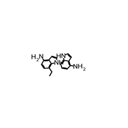 CCc1ccc(N)c2cc[nH]c12.Nc1cccc2[nH]ccc12